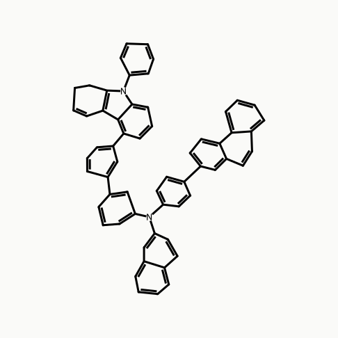 C1=Cc2c(n(-c3ccccc3)c3cccc(-c4cccc(-c5cccc(N(c6ccc(-c7ccc8c(ccc9ccccc98)c7)cc6)c6ccc7ccccc7c6)c5)c4)c23)CC1